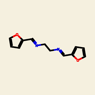 C(=NCCN=Cc1ccco1)c1ccco1